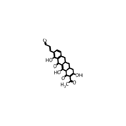 CC(=O)C1=C(O)CC2CC3Cc4ccc(/C=C/C=O)c(O)c4C(=O)C3=C(O)C2C1=O